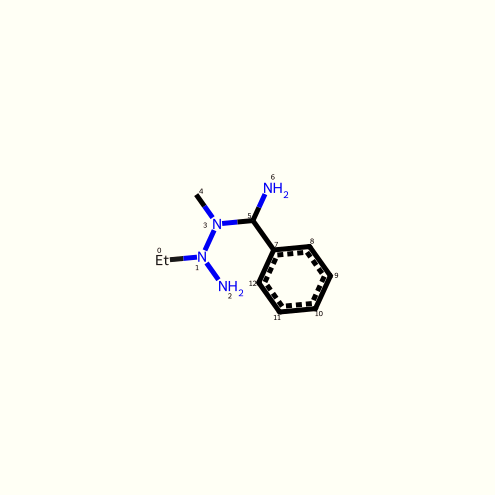 CCN(N)N(C)C(N)c1ccccc1